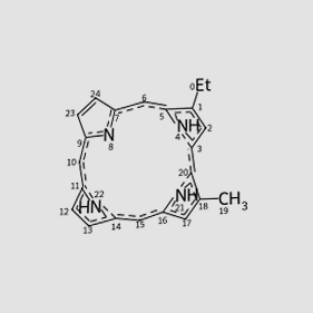 CCc1cc2[nH]c1cc1nc(cc3ccc(cc4cc(C)c2[nH]4)[nH]3)C=C1